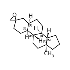 C[C@@]12CCC[C@H]1[C@@H]1CC[C@@H]3CC4(CC[C@@H]3[C@H]1CC2)CO4